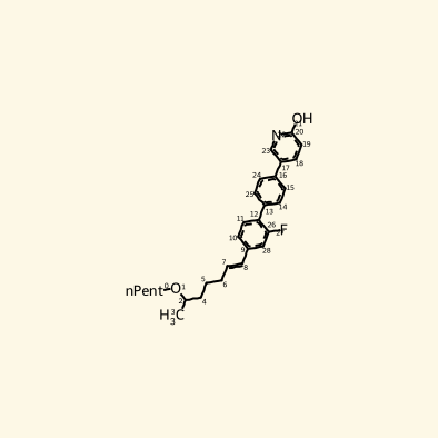 CCCCCOC(C)CCC/C=C/c1ccc(-c2ccc(-c3ccc(O)nc3)cc2)c(F)c1